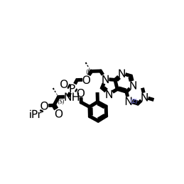 Cc1ccccc1COP(=O)(CO[C@H](C)Cn1cnc2c(/N=C\N(C)C)ncnc21)N[C@@H](C)C(=O)OC(C)C